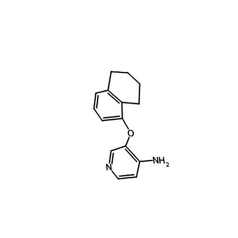 Nc1ccncc1Oc1cccc2c1CCCC2